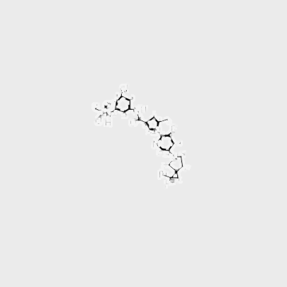 Cc1cc(C(=O)Nc2cc(Cl)cc(NS(C)(=O)=O)c2)cn1-c1ncc(N2CCC3(C2)CC3(F)F)cc1F